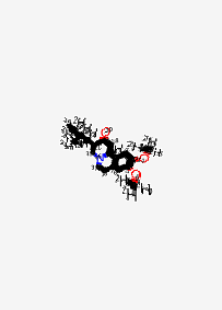 [2H]C([2H])([2H])Oc1cc2c(cc1OC([2H])([2H])[2H])C1([2H])CC(=O)C(C([2H])([2H])C([2H])(C([2H])([2H])[2H])C([2H])([2H])C)CN1CC2